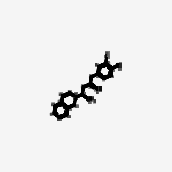 CC(CC(=N)Cc1ccc(Cl)c(Cl)c1)N1C=Cc2ccccc2C1